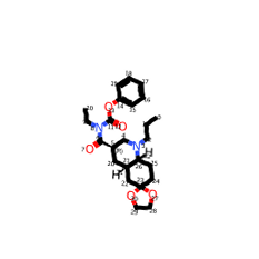 CCCN1C[C@H](C(=O)N(CC)C(=O)Oc2ccccc2)C[C@@H]2CC3(CC[C@H]21)OCCO3